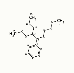 CCCCCC(c1[c]cccc1)C(CCC)CCC